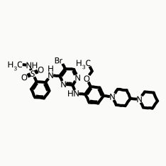 CCOc1cc(N2CCC(N3CCCCC3)CC2)ccc1Nc1ncc(Br)c(Nc2ccccc2S(=O)(=O)NC)n1